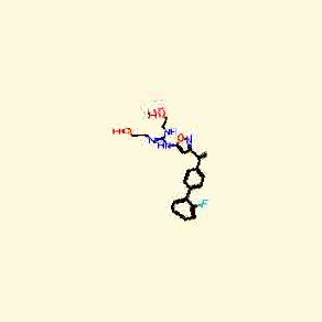 CC(c1ccc(-c2ccccc2F)cc1)c1cc(N/C(=N/CCO)NCCO)on1